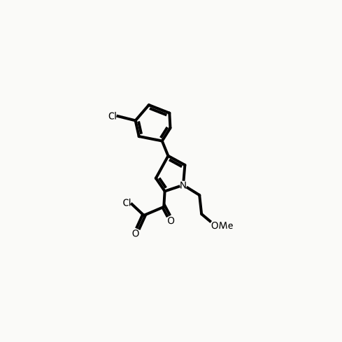 COCCn1cc(-c2cccc(Cl)c2)cc1C(=O)C(=O)Cl